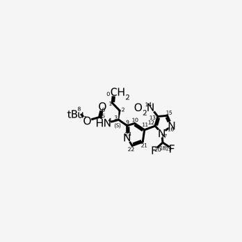 C=CC[C@H](NC(=O)OC(C)(C)C)c1cc(-c2c([N+](=O)[O-])cnn2C(F)F)ccn1